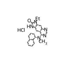 CCn1c(=O)[nH]c2cc3c(N(C)c4cccc5ccccc45)ncnc3cc21.Cl